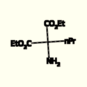 CCCC(N)(C(=O)OCC)C(=O)OCC